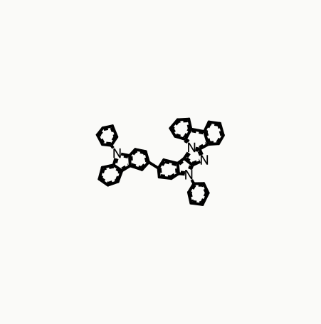 c1ccc(-n2c3ccccc3c3cc(-c4ccc5c(c4)c4c(nc6c7ccccc7c7ccccc7n64)n5-c4ccccc4)ccc32)cc1